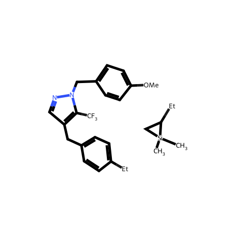 CCC1C[Si]1(C)C.CCc1ccc(Cc2cnn(Cc3ccc(OC)cc3)c2C(F)(F)F)cc1